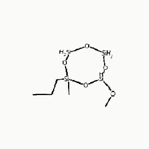 CCC[Si]1(C)O[SiH2]O[SiH2]O[SiH](OC)O1